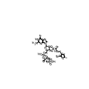 Nc1nc2c(ncn2C2OC(COP(=O)(O)OP(=O)(O)OP(=O)(O)O)C3O[C@@H](C(=O)NCc4ccsc4Br)OC32)c(=S)[nH]1